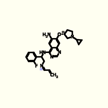 C=C/C=N\CC(Nc1ncnc2cc(O[C@@H]3CCN(C4CC4)C3)c(N)cc12)c1ccccc1F